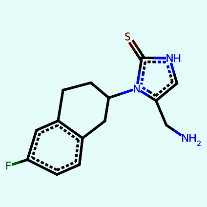 NCc1c[nH]c(=S)n1C1CCc2cc(F)ccc2C1